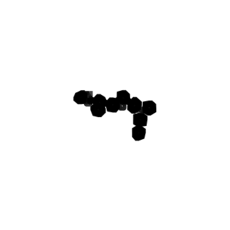 c1ccc(-c2ccc(N(c3ccccc3)c3ccc(-c4cccc5c4oc4ccc(-c6ccc(-c7nc8ccccc8o7)c7ccccc67)cc45)cc3)cc2)cc1